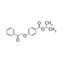 CC(C)OC(=O)c1ccc(OCC(=O)c2ccccc2)cc1